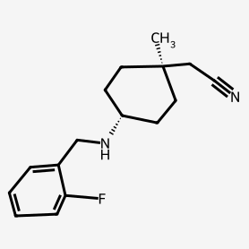 C[C@]1(CC#N)CC[C@H](NCc2ccccc2F)CC1